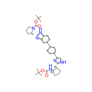 CC(C)(C)OC(=O)N[C@@H]1CCC[C@H]1c1nc(-c2ccc(-c3ccc4[nH]c([C@@H]5CCCN5C(=O)OC(C)(C)C)nc4c3)cc2)c[nH]1